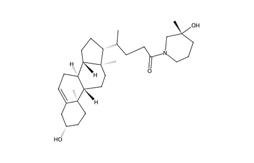 CC(CCC(=O)N1CCC[C@@](C)(O)C1)[C@H]1CC[C@H]2[C@@H]3CC=C4C[C@@H](O)CC[C@]4(C)[C@H]3CC[C@]12C